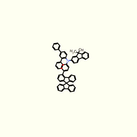 CC1(C)c2ccccc2-c2ccc(N(C3=CC=C(c4cccc5c4-c4ccccc4C54c5ccccc5-c5ccccc54)CC3)c3ccc(-c4ccccc4)cc3-c3ccccc3)cc21